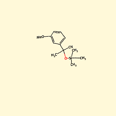 COc1cccc(C(C)(C#N)O[Si](C)(C)C)c1